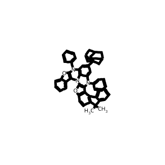 CC1(C)c2ccccc2-c2c1ccc1oc3c(c21)N(c1ccccc1)c1cc(C24CC5CC(CC(C5)C2)C4)cc2c1N3c1c(oc3ccccc13)N2c1ccccc1